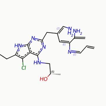 C=C\C=N/C(=C/C(=C\N)Cc1nc(NC[C@H](C)O)c2c(Cl)c(CC)[nH]c2n1)C(=C)N